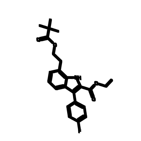 CCOC(=O)c1[nH]c2c(CCOC(=O)C(C)(C)C)cccc2c1-c1ccc(F)cc1